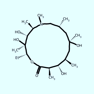 CC[C@H]1OC(=O)[C@H](C)[C@@H](O)[C@H](C)C[C@](C)(O)C[C@@H](C)CN(C)[C@H](C)[C@@H](O)[C@]1(C)O